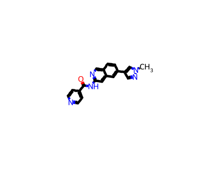 Cn1cc(-c2ccc3cnc(NC(=O)c4ccncc4)cc3c2)cn1